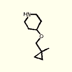 CC1(COC2CCNCC2)CC1